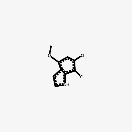 COc1cc(Cl)c(Cl)c2[nH]ccc12